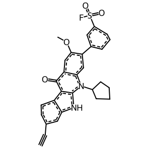 C#Cc1ccc2c(c1)[nH]c1c2c(=O)c2cc(OC)c(-c3cccc(S(=O)(=O)F)c3)cc2n1C1CCCC1